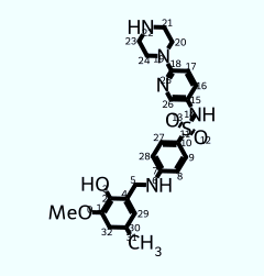 COC1=C(O)C(CNc2ccc(S(=O)(=O)Nc3ccc(N4CCNCC4)nc3)cc2)=CC(C)C1